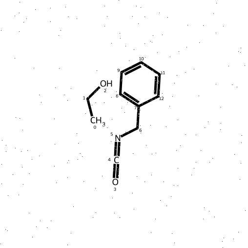 CCO.O=C=NCc1ccccc1